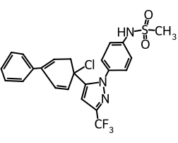 CS(=O)(=O)Nc1ccc(-n2nc(C(F)(F)F)cc2C2(Cl)C=CC(c3ccccc3)=CC2)cc1